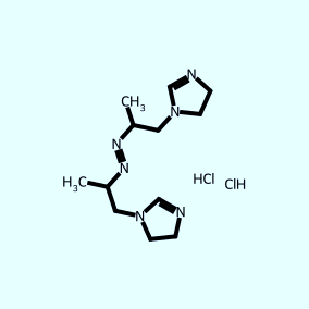 CC(CN1C=NCC1)N=NC(C)CN1C=NCC1.Cl.Cl